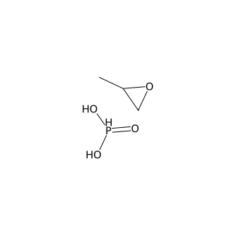 CC1CO1.O=[PH](O)O